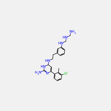 Cc1c(Cl)cccc1C1=CC(NCCc2cccc(NCNCN)c2)NC(N)=N1